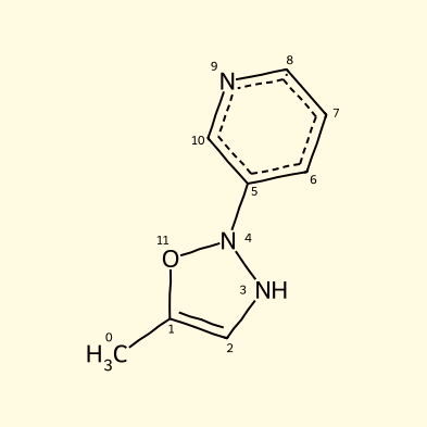 CC1=CNN(c2cc[c]nc2)O1